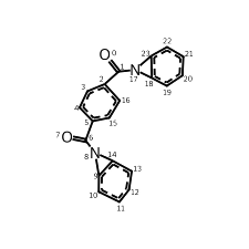 O=C(c1ccc(C(=O)N2c3ccccc32)cc1)N1c2ccccc21